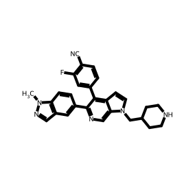 Cn1ncc2cc(-c3ncc4c(ccn4CC4CCNCC4)c3-c3ccc(C#N)c(F)c3)ccc21